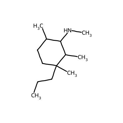 CCCC1(C)CCC(C)C(NC)C1C